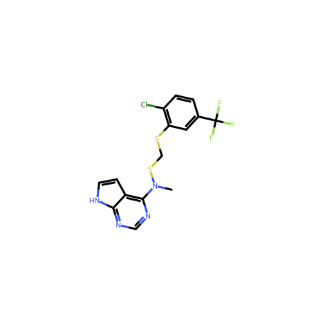 CN(SCSc1cc(C(F)(F)F)ccc1Cl)c1ncnc2[nH]ccc12